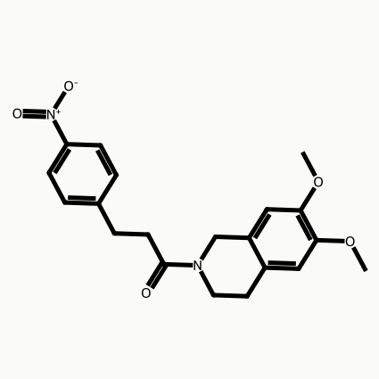 COc1cc2c(cc1OC)CN(C(=O)CCc1ccc([N+](=O)[O-])cc1)CC2